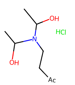 CC(=O)CCN(C(C)O)C(C)O.Cl